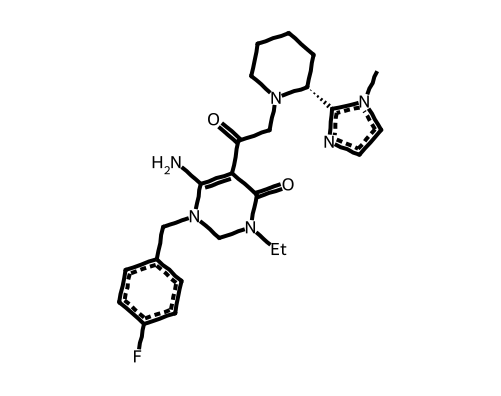 CCN1CN(Cc2ccc(F)cc2)C(N)=C(C(=O)CN2CCCC[C@@H]2c2nccn2C)C1=O